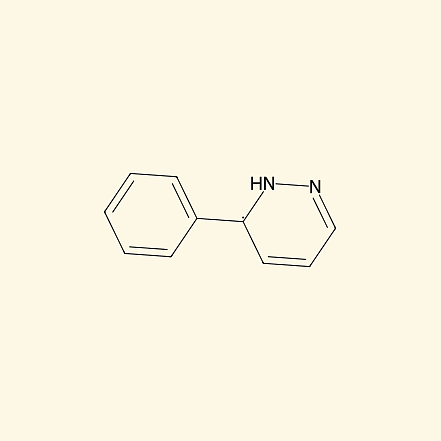 C1=C[C](c2ccccc2)NN=C1